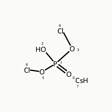 O=P(O)(OCl)OCl.[CsH]